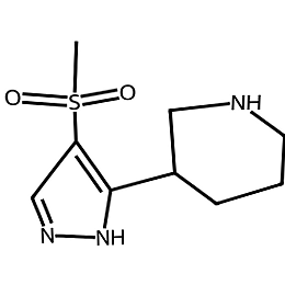 CS(=O)(=O)c1cn[nH]c1C1CCCNC1